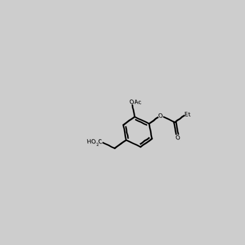 CCC(=O)Oc1ccc(CC(=O)O)cc1OC(C)=O